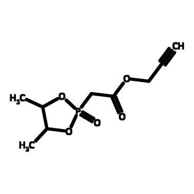 C#CCOC(=O)CP1(=O)OC(C)C(C)O1